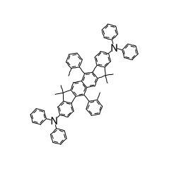 Cc1ccccc1-c1c2c(cc3c(-c4ccccc4C)c4c(cc13)C(C)(C)c1cc(N(c3ccccc3)c3ccccc3)ccc1-4)C(C)(C)c1cc(N(c3ccccc3)c3ccccc3)ccc1-2